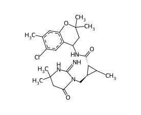 Cc1cc2c(cc1Cl)C(NC(=O)[C@@H]1C(C)[C@H]1CN1C(=N)NC(C)(C)CC1=O)CC(C)(C)O2